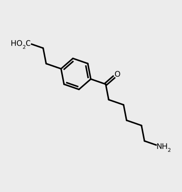 NCCCCCC(=O)c1ccc(CCC(=O)O)cc1